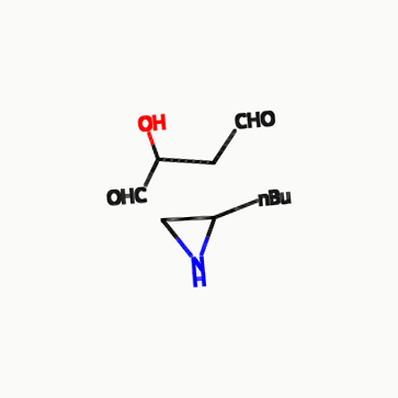 CCCCC1CN1.O=CCC(O)C=O